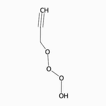 C#CCOOOO